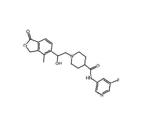 Cc1c(C(O)CN2CCC(C(=O)Nc3cncc(F)c3)CC2)ccc2c1COC2=O